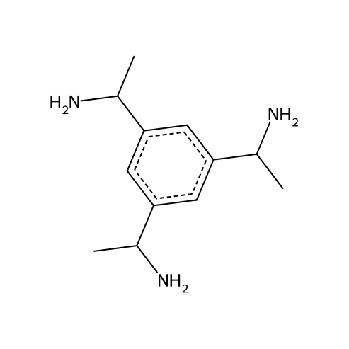 CC(N)c1cc(C(C)N)cc(C(C)N)c1